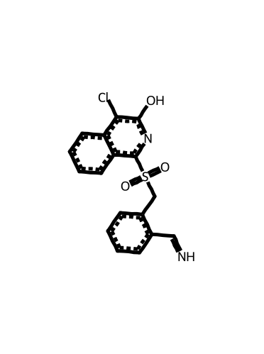 N=Cc1ccccc1CS(=O)(=O)c1nc(O)c(Cl)c2ccccc12